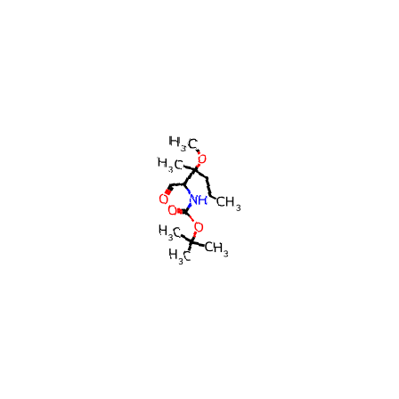 CCCC(C)(OC)C(C=O)NC(=O)OC(C)(C)C